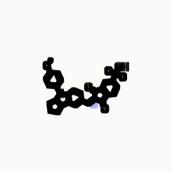 COc1ccc(N2c3ccc(/C=C4/C(=O)c5ccc(S(=O)(=O)O)cc5C4=O)cc3C3CCCC32)cc1